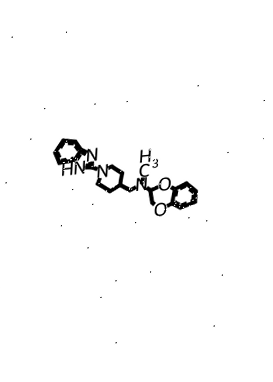 CN(CC1CCN(c2nc3ccccc3[nH]2)CC1)C1COc2ccccc2O1